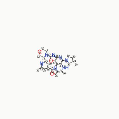 C=C(Nc1cc2oc(N3CCOCC3)nc2nc1N1CC[C@H](C)C1)c1coc(-c2ccnc(C)c2)n1